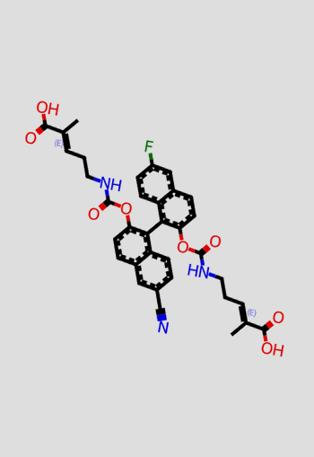 C/C(=C\CCNC(=O)Oc1ccc2cc(F)ccc2c1-c1c(OC(=O)NCC/C=C(\C)C(=O)O)ccc2cc(C#N)ccc12)C(=O)O